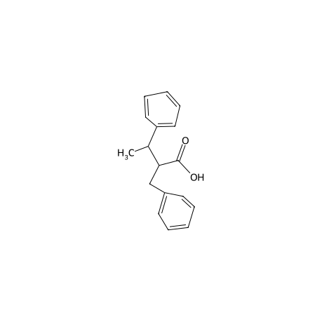 CC(c1ccccc1)C(Cc1ccccc1)C(=O)O